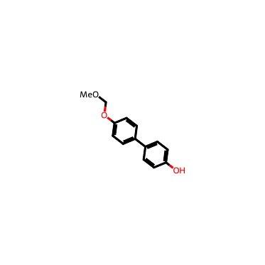 COCOc1ccc(-c2ccc(O)cc2)cc1